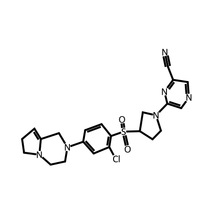 N#Cc1cncc(N2CCC(S(=O)(=O)c3ccc(N4CCN5CCC=C5C4)cc3Cl)C2)n1